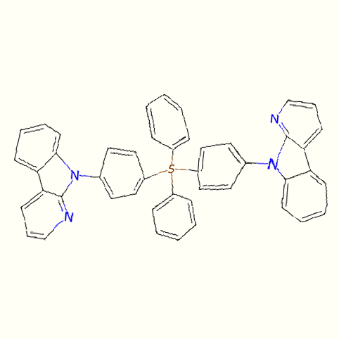 c1ccc(S(c2ccccc2)(c2ccc(-n3c4ccccc4c4cccnc43)cc2)c2ccc(-n3c4ccccc4c4cccnc43)cc2)cc1